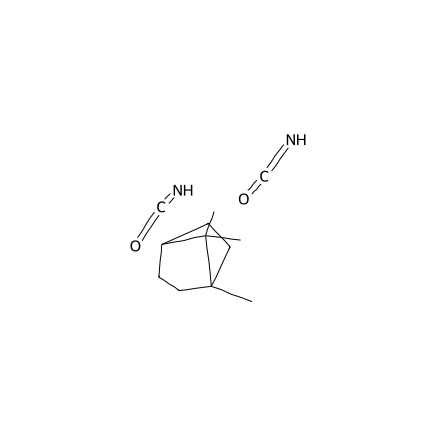 CC12CCC(CC1)C2(C)C.N=C=O.N=C=O